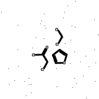 ClCCl.O=C(Cl)CCl.c1ccoc1